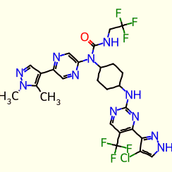 Cc1c(-c2cnc(N(C(=O)NCC(F)(F)F)C3CCC(Nc4ncc(C(F)(F)F)c(-c5n[nH]cc5Cl)n4)CC3)cn2)cnn1C